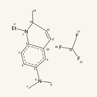 CCN1c2ccc(N(C)C)cc2C=CC1C.FC(F)F